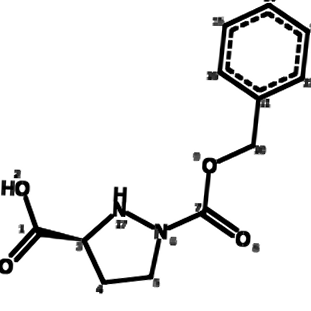 O=C(O)[C@@H]1CCN(C(=O)OCc2ccccc2)N1